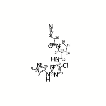 Cn1cc(Nc2ncc(Cl)c(NC[C@H]3CCCN(C(=O)CCC#N)C3)n2)cn1